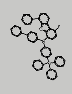 Fc1ccc(N(c2ccc(-c3ccccc3)cc2)c2ccc([Si](c3ccccc3)(c3ccccc3)c3ccccc3)cc2)c2oc3c(-c4ccccc4)cccc3c12